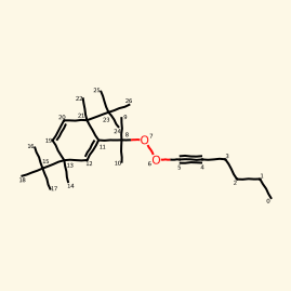 CCCCC#COOC(C)(C)C1=CC(C)(C(C)(C)C)C=CC1(C)C(C)(C)C